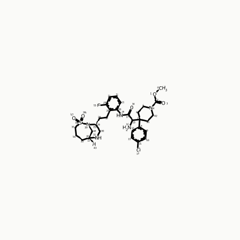 COC(=O)N1CCC(c2ccc(Cl)cc2)(C(N)C(=O)Nc2cccc(F)c2CC[C@H]2CN[C@@H]3CCCS(=O)(=O)N2C3)CC1